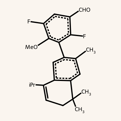 COc1c(F)cc(C=O)c(F)c1-c1cc2c(cc1C)C(C)(C)CC=C2C(C)C